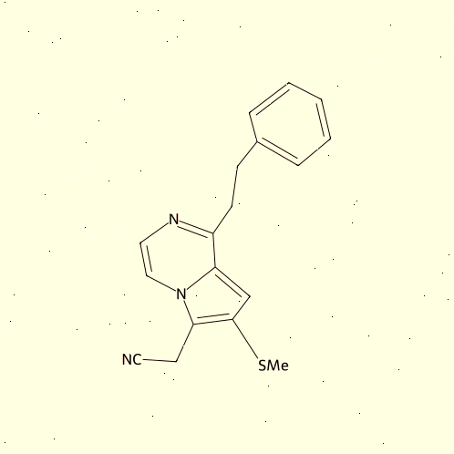 CSc1cc2c(CCc3ccccc3)nccn2c1CC#N